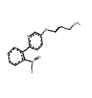 CCCCOc1ccc(-c2ccccc2[N+](=O)[O-])nc1